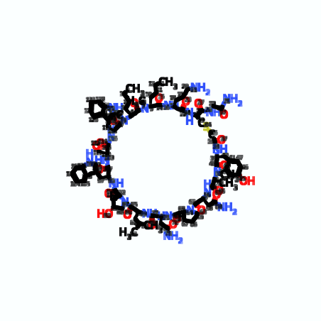 CCCC[C@H]1C(=O)N(C)[C@@H](CCCC)C(=O)N[C@@H](CCCN)C(=O)NC(C(=O)NCC(N)=O)CSCC(=O)N[C@@H](Cc2ccc(O)cc2)C(=O)N(C)[C@@H](C)C(=O)N[C@@H](CC(N)=O)C(=O)N2CCC[C@H]2C(=O)N[C@@H](CC(N)=O)C(=O)N[C@@H](CC(C)C)C(=O)N2C[C@H](O)C[C@H]2C(=O)N[C@@H](Cc2c[nH]c3ccccc23)C(=O)N[C@@H](CO)C(=O)N[C@@H](Cc2c[nH]c3ccccc23)C(=O)N1C